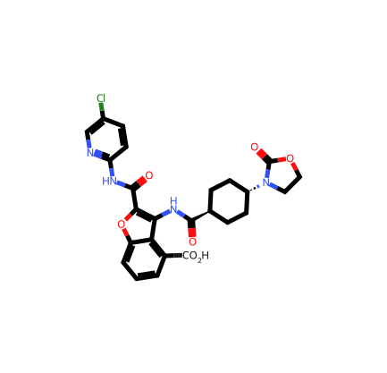 O=C(Nc1ccc(Cl)cn1)c1oc2cccc(C(=O)O)c2c1NC(=O)[C@H]1CC[C@H](N2CCOC2=O)CC1